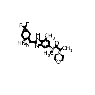 Cc1cc(N(C)C(=O)C(C)N2CCOCC2)cc2nc(-c3n[nH]c4c3CC3C(C4)C3(F)F)[nH]c12